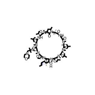 C/C=C/C[C@@H](C)[C@@H](O)[C@@H]1C(=O)N[C@H](CC)C(=O)N(C)[C@H](CSC(C)(C)CN2CCOCC2)C(=O)N(C)[C@@H](CC(C)C)C(=O)N[C@H](C(C)C)C(=O)N(C)[C@@H]2CC(C)N(C2=O)[C@H](C)C(=O)N[C@@H](C)C(=O)N(C)[C@H](CC(C)C)C(=O)N(C)[C@H](CC(C)C)C(=O)N(C)[C@H](C(C)C)C(=O)N1C